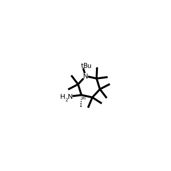 CC(C)(C)N1C(C)(C)C(C)(C)C(C)(C)[C@@](C)(N)C1(C)C